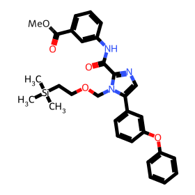 COC(=O)c1cccc(NC(=O)c2ncc(-c3cccc(Oc4ccccc4)c3)n2COCC[Si](C)(C)C)c1